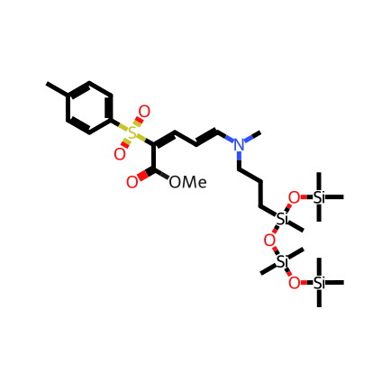 COC(=O)/C(=C\C=C\N(C)CCC[Si](C)(O[Si](C)(C)C)O[Si](C)(C)O[Si](C)(C)C)S(=O)(=O)c1ccc(C)cc1